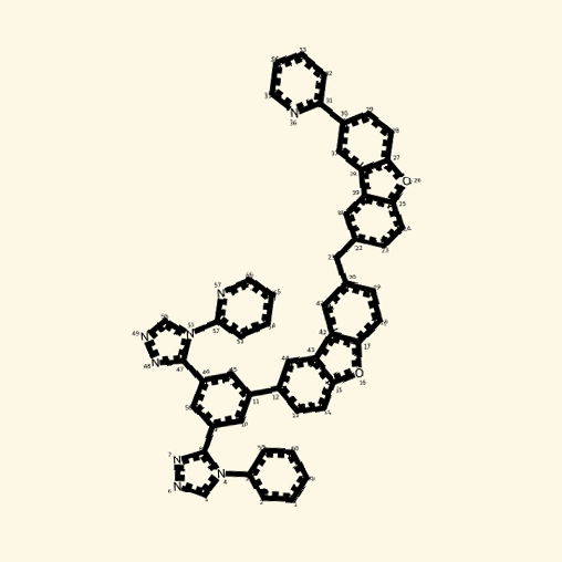 c1ccc(-n2cnnc2-c2cc(-c3ccc4oc5ccc(Cc6ccc7oc8ccc(-c9ccccn9)cc8c7c6)cc5c4c3)cc(-c3nncn3-c3ccccn3)c2)cc1